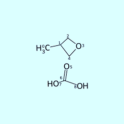 CC1COC1.O=C(O)O